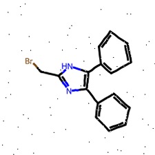 BrCc1nc(-c2ccccc2)c(-c2ccccc2)[nH]1